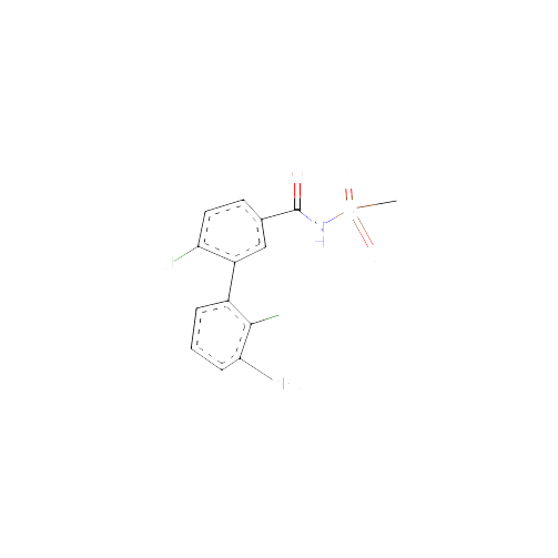 CC(C)(C)c1cccc(-c2cc(C(=O)NS(C)(=O)=O)ccc2Cl)c1F